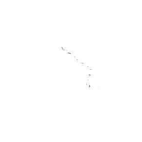 CCCCCC=CCC=CCCCCCCCCC(CC)OC(=O)CCCN(C)C